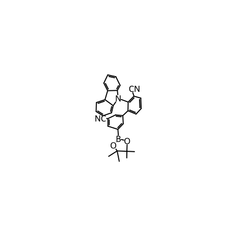 CC1(C)OB(c2cc(C#N)cc(-c3cccc(C#N)c3-n3c4ccccc4c4ccccc43)c2)OC1(C)C